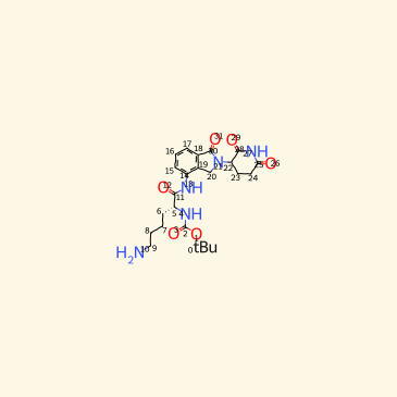 CC(C)(C)OC(=O)N[C@H](CCCCN)C(=O)Nc1cccc2c1CN(C1CCC(=O)NC1=O)C2=O